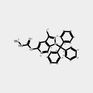 CC(C)(C)NC(=O)Oc1cc2c(I)nn(C(c3ccccc3)(c3ccccc3)c3ccccc3)c2cn1